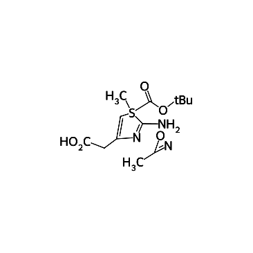 CC(C)(C)OC(=O)S1(C)C=C(CC(=O)O)N=C1N.CC1=NO1